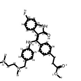 COC(=O)CCc1ccc(C(Nc2ccc(CN(C)CCN(C)C)cc2)=C2C(=O)Nc3cc(F)ccc32)cc1